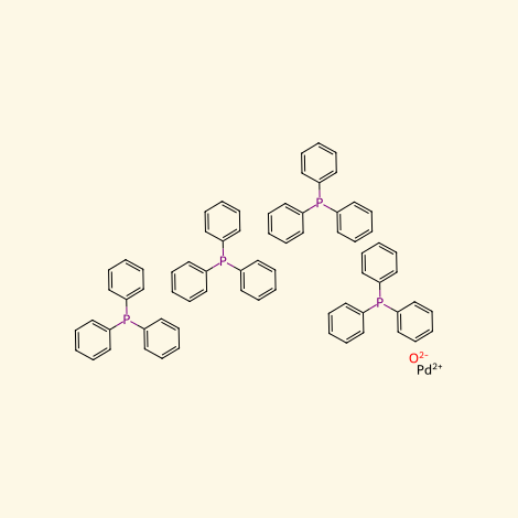 [O-2].[Pd+2].c1ccc(P(c2ccccc2)c2ccccc2)cc1.c1ccc(P(c2ccccc2)c2ccccc2)cc1.c1ccc(P(c2ccccc2)c2ccccc2)cc1.c1ccc(P(c2ccccc2)c2ccccc2)cc1